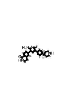 Nc1nc(F)c(-c2ccc(C3(O)CCNCC3)cc2)cc1-c1ccc2c(c1)CCNC2=O